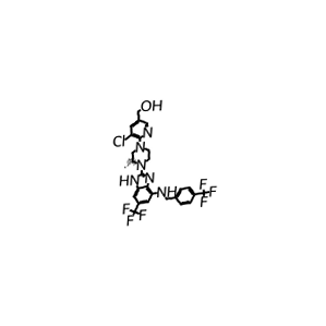 C[C@@H]1CN(c2ncc(CO)cc2Cl)CCN1c1nc2c(NCc3ccc(C(F)(F)F)cc3)cc(C(F)(F)F)cc2[nH]1